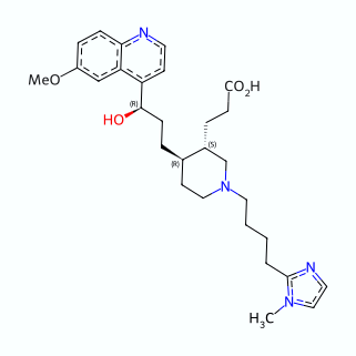 COc1ccc2nccc([C@H](O)CC[C@@H]3CCN(CCCCc4nccn4C)C[C@H]3CCC(=O)O)c2c1